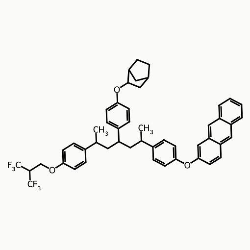 CC(CC(CC(C)c1ccc(Oc2ccc3cc4ccccc4cc3c2)cc1)c1ccc(OC2CC3CCC2C3)cc1)c1ccc(OCC(C(F)(F)F)C(F)(F)F)cc1